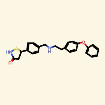 O=C1CC(c2ccc(CNCCc3ccc(Oc4ccccc4)cc3)cc2)SN1